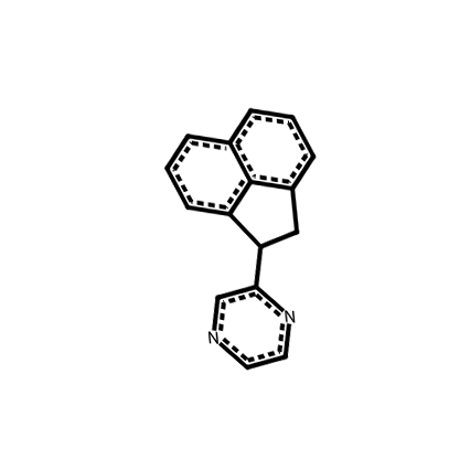 c1cc2c3c(cccc3c1)C(c1cnccn1)C2